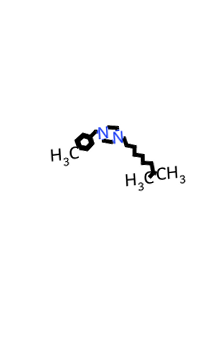 Cc1ccc(CN2CCN(CCCCCCCC(C)C)CC2)cc1